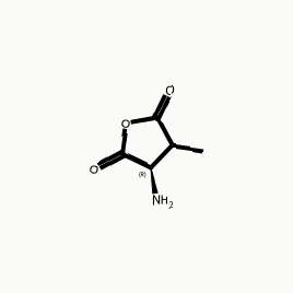 CC1C(=O)OC(=O)[C@@H]1N